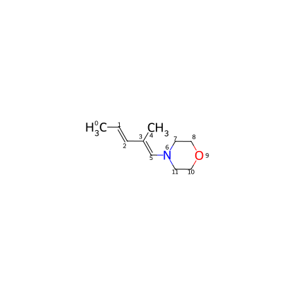 C/C=C/C(C)=C/N1CCOCC1